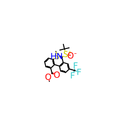 COC(=O)c1cccc(SC)c1-c1ccc(C(F)(F)F)cc1C(=N)[S+]([O-])C(C)(C)C